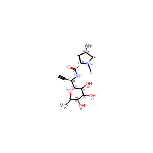 C#C[C@@H](NC(=O)[C@@H]1C[C@@H](CCC)CN1C)[C@H]1OC(SC)[C@H](O)C(O)C1O